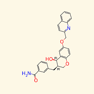 NC(=O)c1cccc(C[C@@H]2COc3ccc(OCc4ccc5ccccc5n4)cc3[C@@H]2O)c1